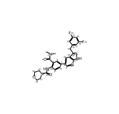 CN(C)C(=O)c1cc(-c2cnc3[nH]nc(Cc4cc(F)cc(F)c4)c3c2)ccc1NC(=O)N1CCOCC1